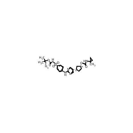 CC1(NC(=O)O[C@@H]2CC[C@H](c3cnc(Nc4ccc(S(=O)(=O)NC(=O)OC(C)(C)C)cc4)nc3)C2)CC1